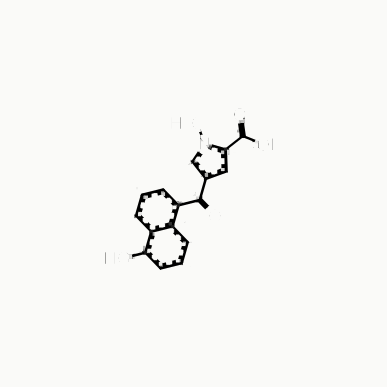 Cn1cc(C(=O)c2cccc3c(O)cccc23)cc1C(=O)O